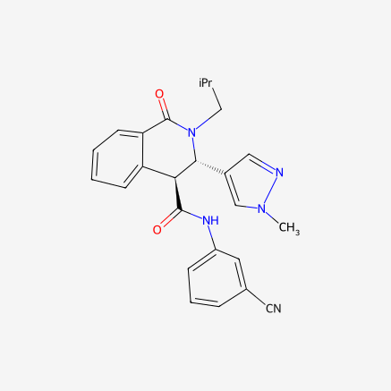 CC(C)CN1C(=O)c2ccccc2[C@H](C(=O)Nc2cccc(C#N)c2)[C@H]1c1cnn(C)c1